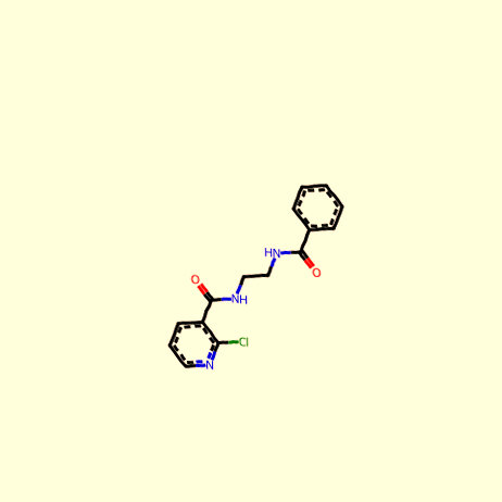 O=C(NCCNC(=O)c1cccnc1Cl)c1ccccc1